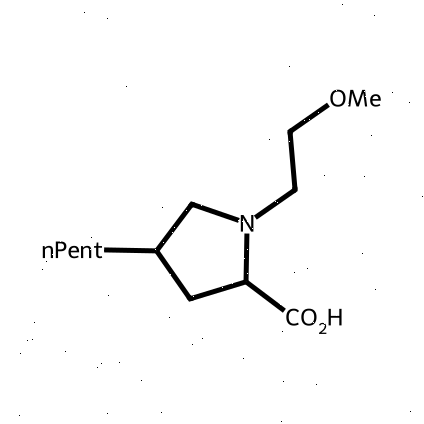 CCCCCC1CC(C(=O)O)N(CCOC)C1